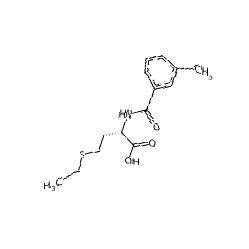 CCSCC[C@H](NC(=O)c1cccc(C)c1)C(=O)O